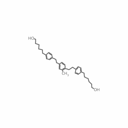 Cc1cc(CCc2ccc(CCCCCCO)cc2)ccc1CCc1ccc(CCCCCCO)cc1